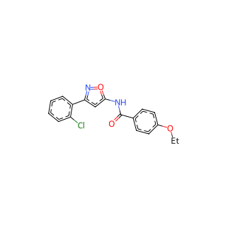 CCOc1ccc(C(=O)Nc2cc(-c3ccccc3Cl)no2)cc1